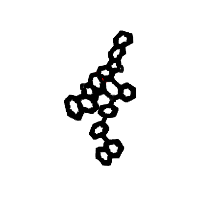 c1cc(-c2ccc(N(c3ccccc3-c3cccc4c3oc3cc5ccccc5cc34)c3cccc4oc5c6ccccc6ccc5c34)cc2)cc(-c2cccc3ccccc23)c1